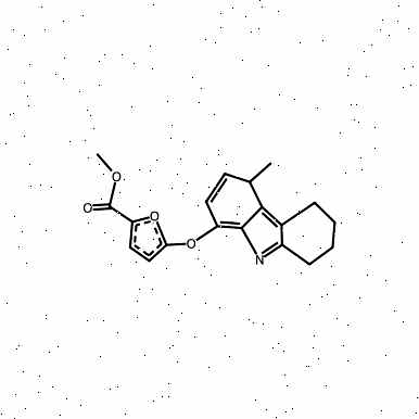 COC(=O)c1ccc(OC2=C3N=C4CCCCC4=C3C(C)C=C2)o1